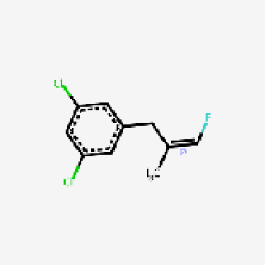 C/C(=C/F)Cc1cc(Cl)cc(Cl)c1